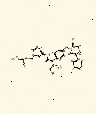 [C-]#[N+]CC(C)C(C(=O)Nc1cccc(CCC(=O)OC)c1)c1ccc(CN2N=C(c3ccccc3)OCC2=O)cc1